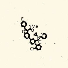 CNC(=O)c1c(-c2ccc(F)cc2)oc2ccc(-c3ccc(-c4ccccc4Cl)c(C(=O)N(c4ccccn4)C4CC4)c3)cc12